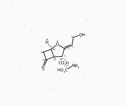 NC(=O)O.O=C(O)[C@H]1/C(=C/CO)O[C@@H]2CC(=O)N21